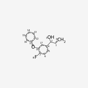 C=CC(O)c1ccc(F)c(Oc2ccccc2)c1